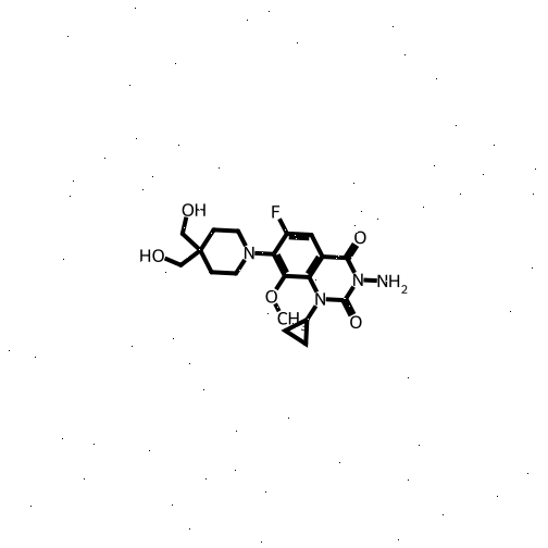 COc1c(N2CCC(CO)(CO)CC2)c(F)cc2c(=O)n(N)c(=O)n(C3CC3)c12